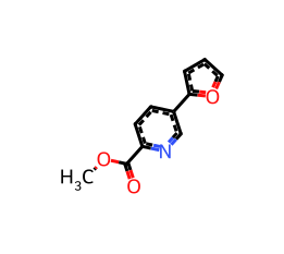 COC(=O)c1ccc(-c2ccco2)cn1